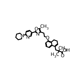 Cc1oc(-c2ccc(N3CCCCC3)nc2)nc1CCOc1cccc2c1CCC=C2CC(C)(C)C(=O)O